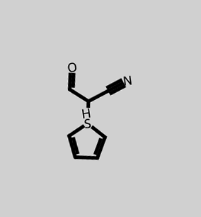 N#CC(C=O)[SH]1C=CC=C1